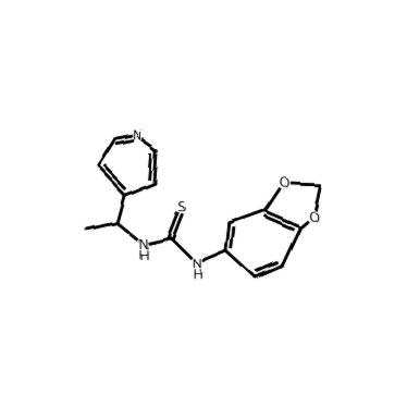 CC(NC(=S)Nc1ccc2c(c1)OCO2)c1ccncc1